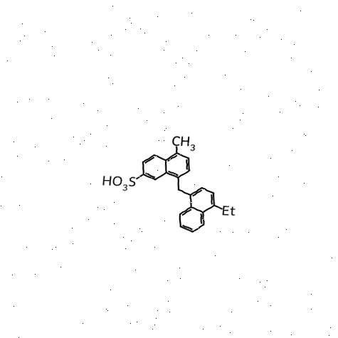 CCc1ccc(Cc2ccc(C)c3ccc(S(=O)(=O)O)cc23)c2ccccc12